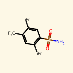 CC(C)c1cc(S(N)(=O)=O)c(C(C)C)cc1C(F)(F)F